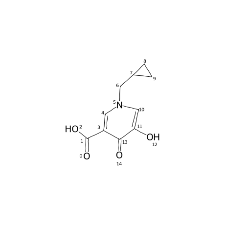 O=C(O)c1cn(CC2CC2)cc(O)c1=O